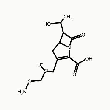 CC(O)C1C(=O)N2C(C(=O)O)=C(C[S+]([O-])CSN)CC12